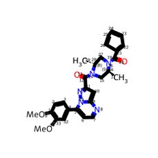 COc1ccc(-c2ccnc3cc(C(=O)N4C[C@H](C)N(C(=O)c5ccccc5)C[C@H]4C)nn23)cc1OC